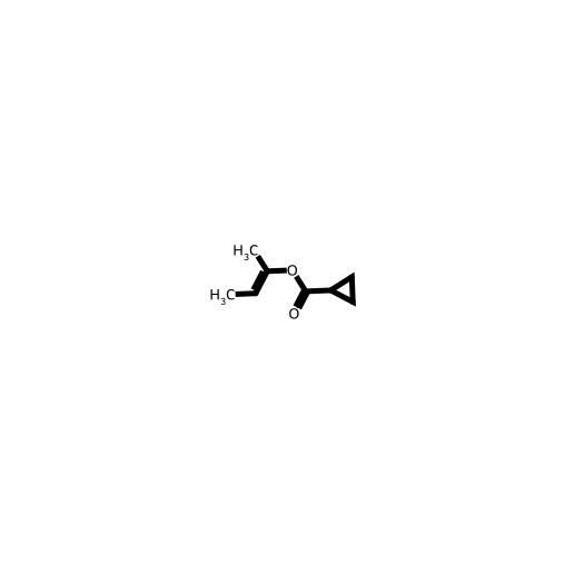 CC=C(C)OC(=O)C1CC1